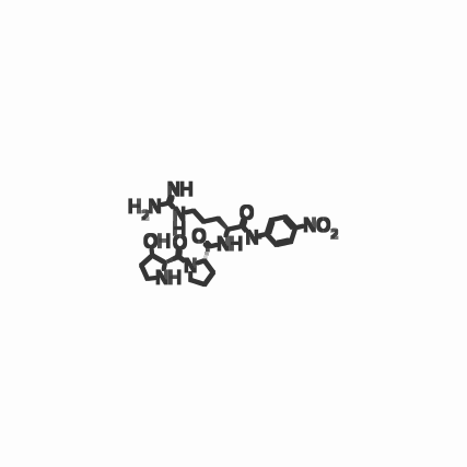 N=C(N)NCCC[C@H](NC(=O)[C@@H]1CCCN1C(=O)[C@H]1NCCC1O)C(=O)[N]c1ccc([N+](=O)[O-])cc1